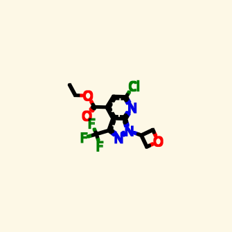 CCOC(=O)c1cc(Cl)nc2c1c(C(F)(F)F)nn2C1COC1